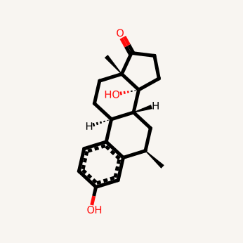 C[C@@H]1C[C@@H]2[C@H](CC[C@]3(C)C(=O)CC[C@@]23O)c2ccc(O)cc21